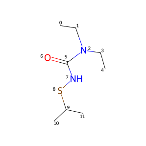 CCN(CC)C(=O)NSC(C)C